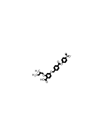 CCC(C)COc1cc(OCc2ccc(C(=O)Oc3ccc([N+](=O)[O-])cc3)cc2)ccc1C(=O)O